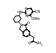 COc1nc(N[C@@H]2CCC[C@H](N3Cc4ccc(CC(N)=O)cc4C3=O)C2)ncc1C#N